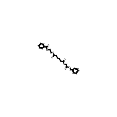 O=C(CCCCC(=O)OCC(=O)OCc1ccccc1)OCCOC(=O)c1ccccc1